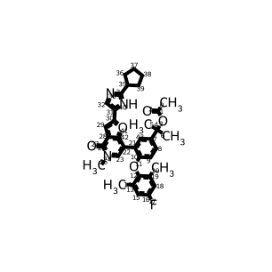 CC(=O)OC(C)(C)c1ccc(Oc2c(C)cc(F)cc2C)c(-c2cn(C)c(=O)c3cc(-c4cnc(C5CCCC5)[nH]4)oc23)c1